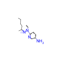 C=CN(/N=C(/C)CCCC)c1ccc(N)cn1